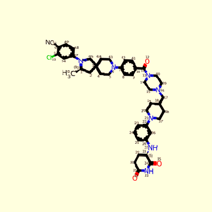 C[C@@H]1CC2(CCN(c3ccc(C(=O)N4CCN(CC5CCN(c6cccc(N[C@H]7CCC(=O)NC7=O)c6)CC5)CC4)cc3)CC2)CN1c1ccc(C#N)c(Cl)c1